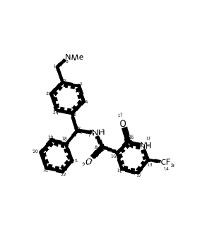 CNCc1ccc(C(NC(=O)c2ccc(C(F)(F)F)[nH]c2=O)c2ccccc2)cc1